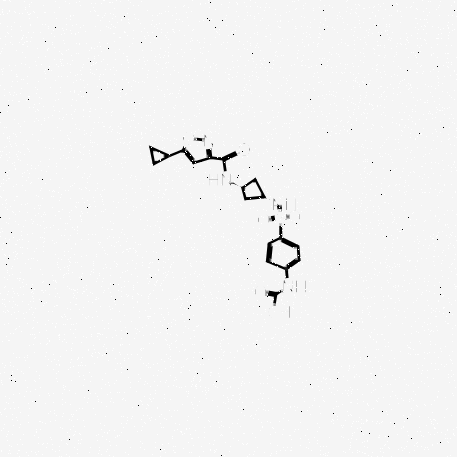 CC(=O)Nc1ccc(S(=O)(=O)N[C@H]2C[C@H](NC(=O)c3cc(C4CC4)on3)C2)cc1